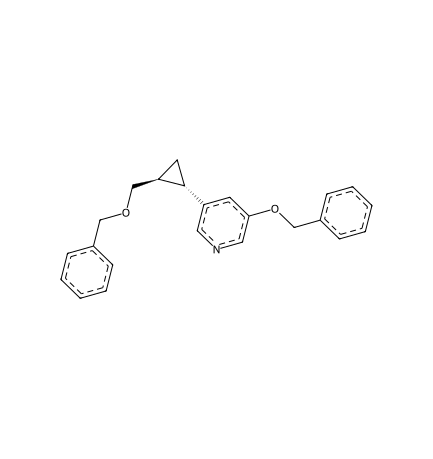 c1ccc(COC[C@H]2C[C@@H]2c2cncc(OCc3ccccc3)c2)cc1